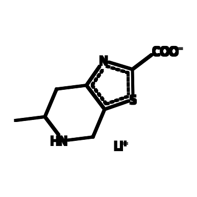 CC1Cc2nc(C(=O)[O-])sc2CN1.[Li+]